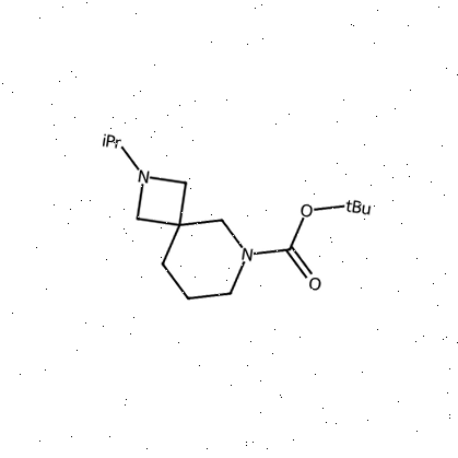 CC(C)N1CC2(CCCN(C(=O)OC(C)(C)C)C2)C1